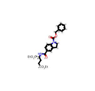 CCOC(=O)CC[C@@H](NC(=O)c1ccc2c(c1)CCN2C(=O)OCc1ccccc1)C(=O)OCC